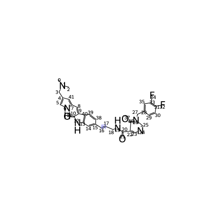 CN(C)Cc1c[nH]c(C=C2C(=O)Nc3cc(/C=C/CNC(=O)c4cncn(Cc5ccc(F)c(F)c5)c4=O)ccc32)c1